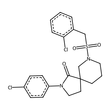 O=C1N(c2ccc(Cl)cc2)CCC12CCCN(S(=O)(=O)Cc1ccccc1Cl)C2